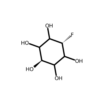 OC1C(O)[C@H](F)C(O)C(O)[C@H]1O